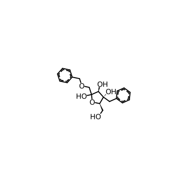 OC[C@H]1OC(O)(COCc2ccccc2)[C@@H](O)[C@@]1(O)Cc1ccccc1